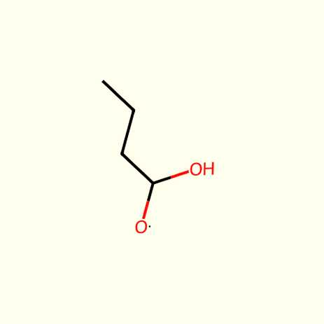 CCCC([O])O